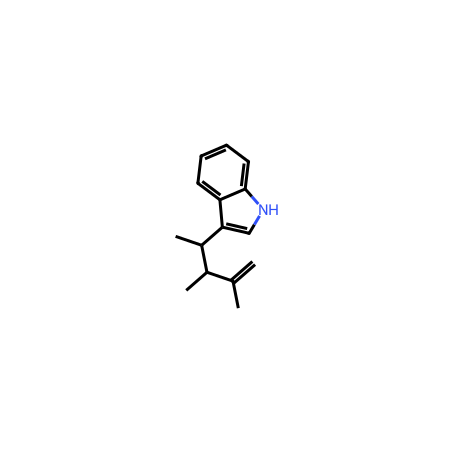 C=C(C)C(C)C(C)c1c[nH]c2ccccc12